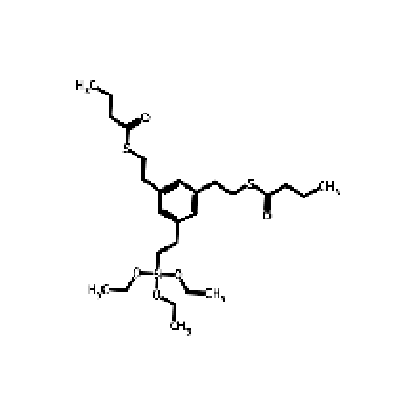 CCCC(=O)SCCc1cc(CCSC(=O)CCC)cc(CC[Si](OCC)(OCC)OCC)c1